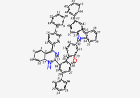 C1=CC2=C(c3ccc(-c4ccccc4)cc3)N=C(c3cc(-c4ccccc4)cc4oc5cc(-n6c7ccccc7c7cc(-c8ccccc8)ccc76)ccc5c34)NC2C=C1